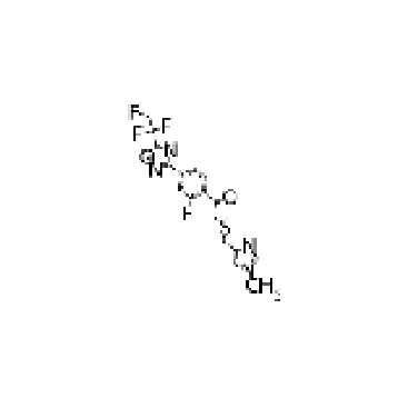 Cn1cnc(CSCC(=O)c2ccc(-c3noc(C(F)(F)CF)n3)cc2F)c1